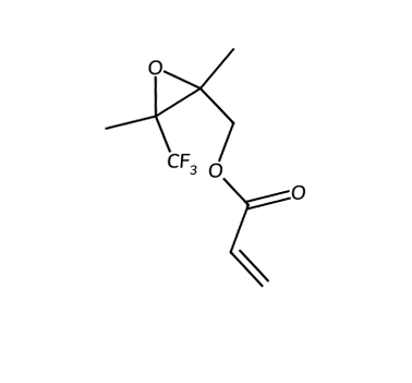 C=CC(=O)OCC1(C)OC1(C)C(F)(F)F